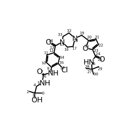 CC(C)(O)CNC(=O)Nc1ccc(C(=O)N2CCN(Cc3ccc(C(=O)NC(C)(C)C)o3)CC2)cc1Cl